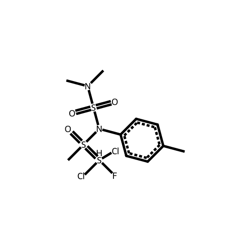 Cc1ccc(N(S(=O)(=O)N(C)C)S(C)(=O)=[SH](F)(Cl)Cl)cc1